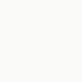 CCCCO[C](OCCCC)C(O)CC